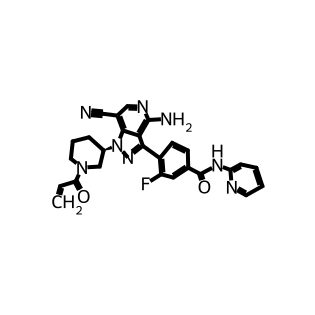 C=CC(=O)N1CCC[C@@H](n2nc(-c3ccc(C(=O)Nc4ccccn4)cc3F)c3c(N)ncc(C#N)c32)C1